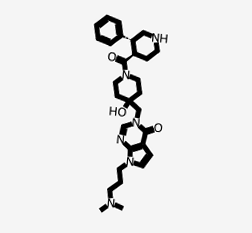 CN(C)CCCn1ccc2c(=O)n(CC3(O)CCN(C(=O)[C@@H]4CCNC[C@H]4c4ccccc4)CC3)cnc21